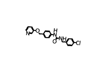 O=C(NCc1ccc(Cl)cc1)Nc1ccc(COc2cccnc2)cc1